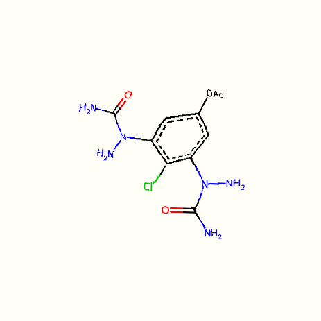 CC(=O)Oc1cc(N(N)C(N)=O)c(Cl)c(N(N)C(N)=O)c1